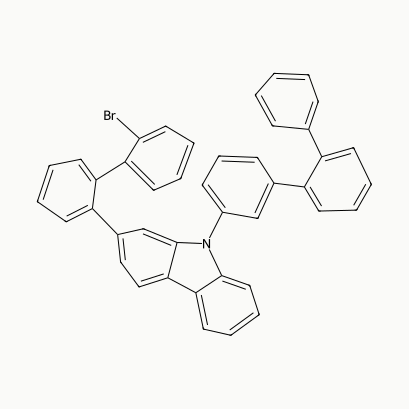 Brc1ccccc1-c1ccccc1-c1ccc2c3ccccc3n(-c3cccc(-c4ccccc4-c4ccccc4)c3)c2c1